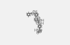 O=C(OCc1ccccc1)c1cc(N2CCO[C@H]([C@@H](O)C(=O)Nc3ccc(-c4noc(=O)[nH]4)cc3)C2=O)ccc1F